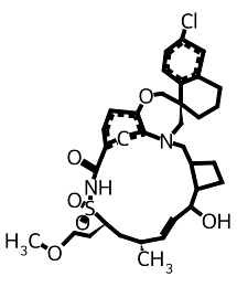 COCC[C@@H]1C[C@@H](C)/C=C/C(O)C2CCC2CN2C[C@@]3(CCCc4cc(Cl)ccc43)COc3ccc(cc32)C(=O)NS1(=O)=O